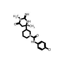 CN1C(=N)N[C@](C)(C2CCCN(C(=O)Nc3ccc(Cl)cc3)C2)CC1=O